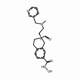 CN(CC[C@]1(C=O)CCc2ccc(C(=O)NO)cc2C1)Cc1cccnc1